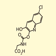 O=C(O)CNC(=O)Oc1nc2ccc(Cl)cc2cc1O